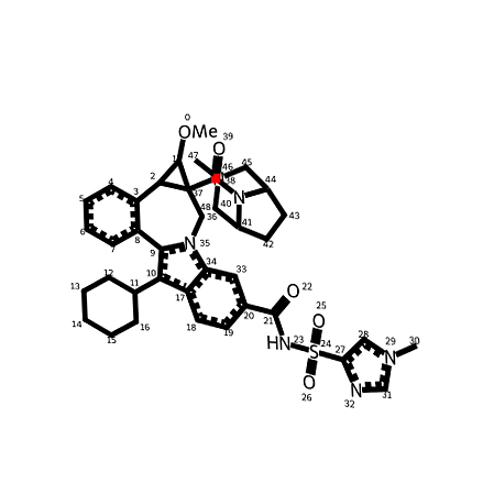 COC1C2c3ccccc3-c3c(C4CCCCC4)c4ccc(C(=O)NS(=O)(=O)c5cn(C)cn5)cc4n3CC12C(=O)N1C2CCC1CN(C)C2